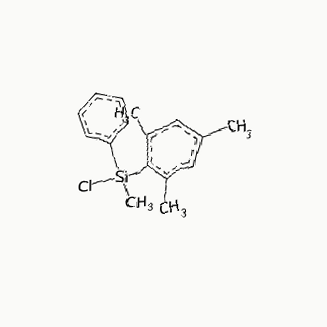 Cc1cc(C)c([Si](C)(Cl)c2ccccc2)c(C)c1